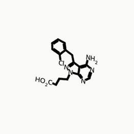 Nc1ncnc2c1c(Cc1ccccc1Cl)nn2CCCC(=O)O